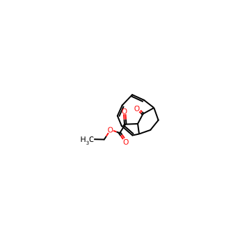 CCOC(=O)C(=O)C1C(=O)C2C=CC=CC=CC1CC2